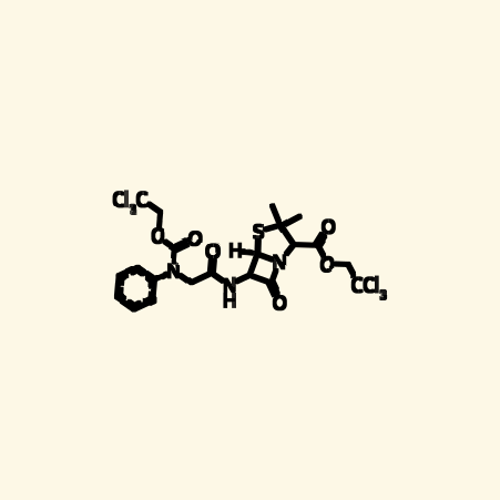 CC1(C)S[C@H]2C(NC(=O)CN(C(=O)OCC(Cl)(Cl)Cl)c3ccccc3)C(=O)N2C1C(=O)OCC(Cl)(Cl)Cl